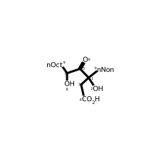 CCCCCCCCCC(O)(CC(=O)O)C(=O)C(O)CCCCCCCC